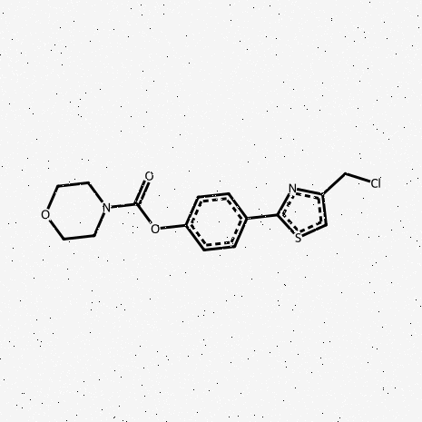 O=C(Oc1ccc(-c2nc(CCl)cs2)cc1)N1CCOCC1